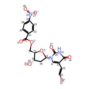 O=C(OC[C@H]1O[C@@H](n2cc(C=CBr)c(=O)[nH]c2=O)C[C@@H]1O)c1ccc([N+](=O)[O-])cc1